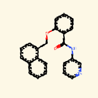 O=C(Nc1cccnc1)c1ccccc1OCc1cccc2ccccc12